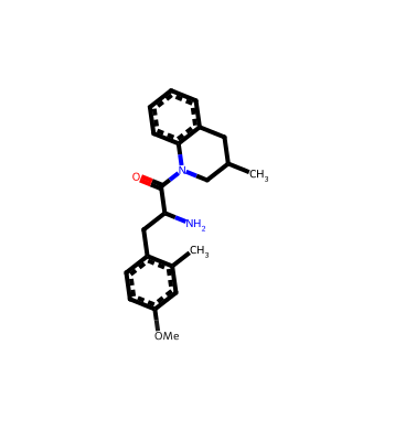 COc1ccc(CC(N)C(=O)N2CC(C)Cc3ccccc32)c(C)c1